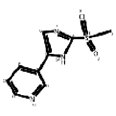 CS(=O)(=O)c1n[c]c(-c2cccnc2)[nH]1